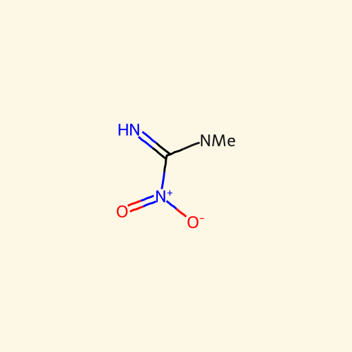 CNC(=N)[N+](=O)[O-]